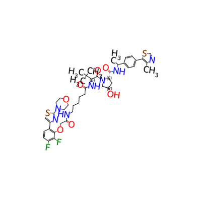 Cc1ncsc1-c1ccc(C(C)NC(=O)[C@@H]2C[C@@H](O)CN2C(=O)[C@@H](NC(=O)CCCCCNC(=O)COc2c(-c3csc(N4CCOCC4)n3)ccc(F)c2F)C(C)(C)C)cc1